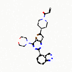 C=CC(=O)N1CCC(c2cc3nc(-c4cccc5[nH]ncc45)nc(N4CCOCC4)c3s2)CC1